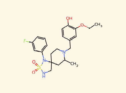 CCOc1cc(CN2CCC3(CNS(=O)(=O)N3c3cccc(F)c3)CC2C)ccc1O